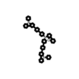 c1ccc(-n2c3ccccc3c3cc(-c4ccc(-c5ccc(N(c6ccc(-c7ccc(-c8ccc9c%10ccccc%10n(-c%10ccccc%10)c9c8)cc7)cc6)c6cccc7c6oc6ccccc67)cc5)cc4)ccc32)cc1